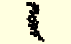 NC[C@H]1CN(c2cc(F)c(N3CCON(C(=O)Nc4nc(C(=O)O)cs4)CC3)c(F)c2)C(=O)O1